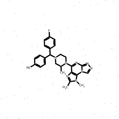 Cc1nc2c(N3CCN(C(c4ccc(F)cc4)c4ccc(C#N)cc4)CC3C)nc3nncn3c2n1C